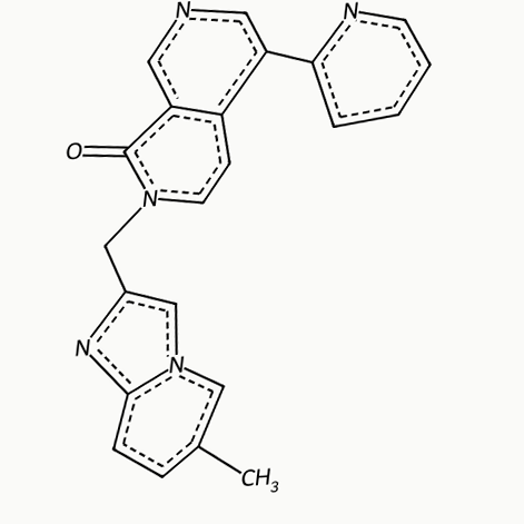 Cc1ccc2nc(Cn3ccc4c(-c5ccccn5)cncc4c3=O)cn2c1